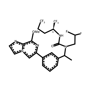 COc1nc(-c2cccc(C(C)N(CC(F)F)C(=O)N[C@@H](CCC(F)(F)F)C(F)(F)F)c2)cn2ccnc12